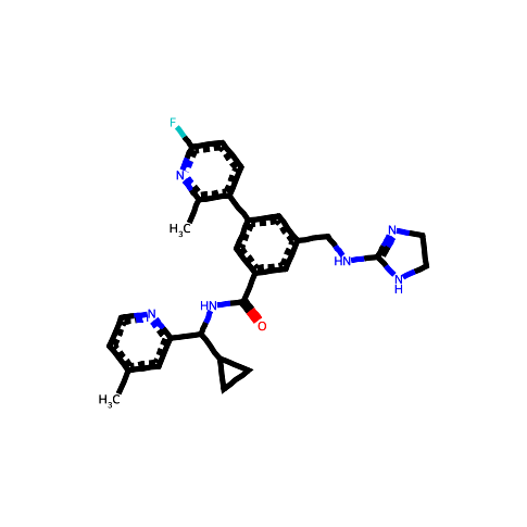 Cc1ccnc(C(NC(=O)c2cc(CNC3=NCCN3)cc(-c3ccc(F)nc3C)c2)C2CC2)c1